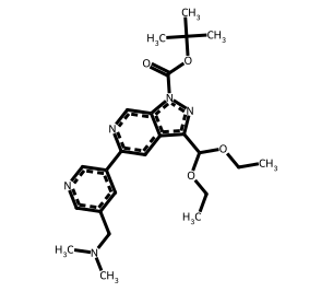 CCOC(OCC)c1nn(C(=O)OC(C)(C)C)c2cnc(-c3cncc(CN(C)C)c3)cc12